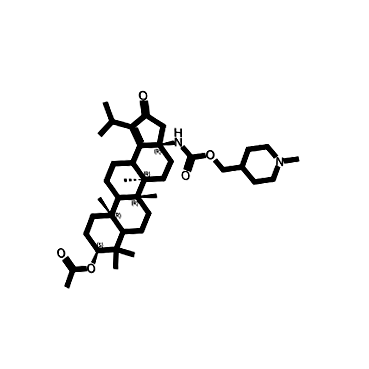 CC(=O)O[C@H]1CC[C@@]2(C)C(CC[C@]3(C)C2CCC2C4=C(C(C)C)C(=O)C[C@]4(NC(=O)OCC4CCN(C)CC4)CC[C@]23C)C1(C)C